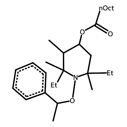 CCCCCCCCC(=O)OC1CC(C)(CC)N(OC(C)c2ccccc2)C(C)(CC)C1C